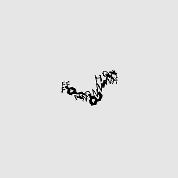 CC(C)(C)OC(=O)NCCNc1ccc2cccc(Oc3cc(-c4ccc(C(F)(F)F)cc4)ncn3)c2n1